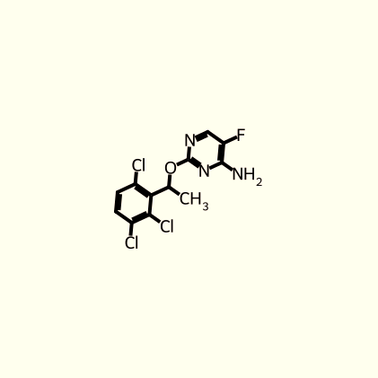 CC(Oc1ncc(F)c(N)n1)c1c(Cl)ccc(Cl)c1Cl